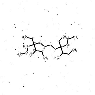 CCC(C)C(CC)([SiH2]OC)SSSSC(CC)([SiH2]OC)C(C)CC